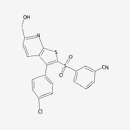 N#Cc1cccc(S(=O)(=O)c2sc3nc(CO)ccc3c2-c2ccc(Cl)cc2)c1